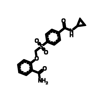 NC(=O)c1ccccc1OCS(=O)(=O)c1ccc(C(=O)NC2CC2)cc1